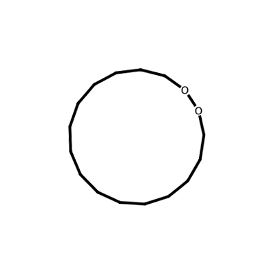 C1CCCCCCCOOCCCCCCC1